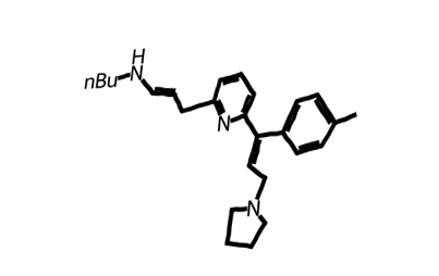 CCCCNC=CCc1cccc(C(=CCN2CCCC2)c2ccc(C)cc2)n1